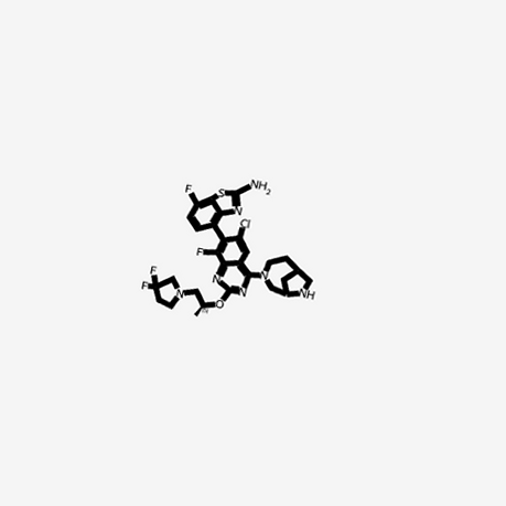 C[C@@H](CN1CCC(F)(F)C1)Oc1nc(N2CCC3CNC(C3)C2)c2cc(Cl)c(-c3ccc(F)c4sc(N)nc34)c(F)c2n1